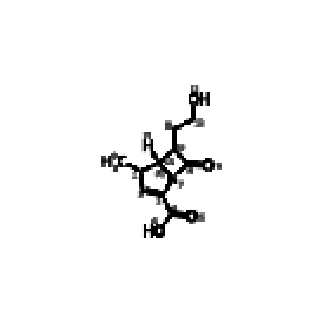 CC1C=C(C(=O)O)N2C(=O)C(CCO)[C@@H]12